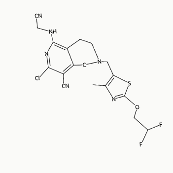 Cc1nc(OCC(F)F)sc1CN1CCc2c(NCC#N)nc(Cl)c(C#N)c2C1